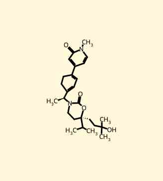 CC(C)[C@@]1(CCC(C)(C)O)CCN([C@@H](C)C2=CC=C(c3ccn(C)c(=O)c3)CC2)C(=O)O1